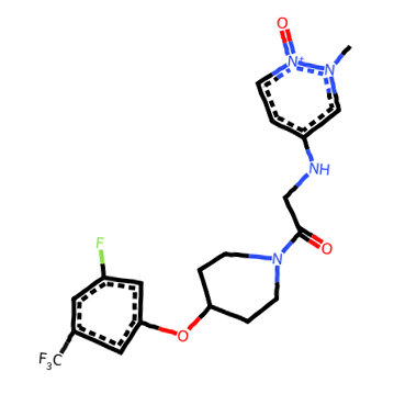 Cn1cc(NCC(=O)N2CCC(Oc3cc(F)cc(C(F)(F)F)c3)CC2)cc[n+]1=O